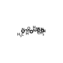 Cc1ccnc(CNC(=O)c2cccc(NCc3nnc(-c4ccncn4)n3C)c2)c1